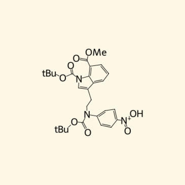 COC(=O)c1cccc2c(CCN(C(=O)OC(C)(C)C)c3ccc([N+](=O)O)cc3)cn(C(=O)OC(C)(C)C)c12